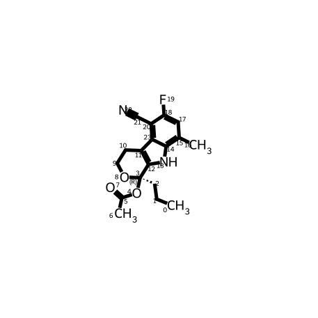 CCC[C@]1(OC(C)=O)OCCc2c1[nH]c1c(C)cc(F)c(C#N)c21